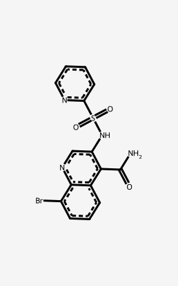 NC(=O)c1c(NS(=O)(=O)c2ccccn2)cnc2c(Br)cccc12